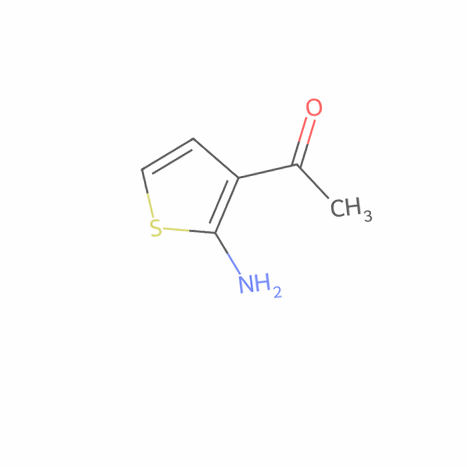 CC(=O)c1ccsc1N